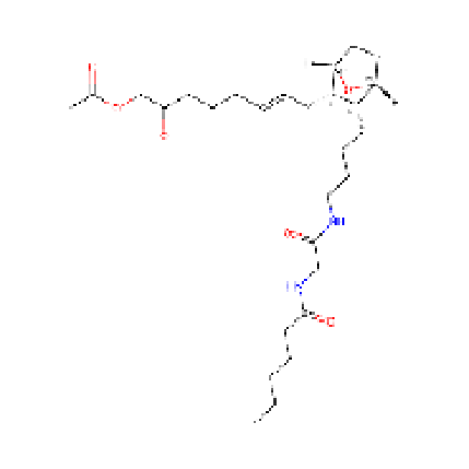 CCCCCC(=O)NCC(=O)NCCCC[C@@H]1[C@H](CC=CCCCC(=O)COC(C)=O)[C@@H]2CC[C@H]1O2